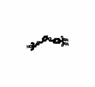 CCC(O)(CC)CCCNCc1cccc(OCc2ccc(C(C(=O)O)C(=O)O)cc2)c1